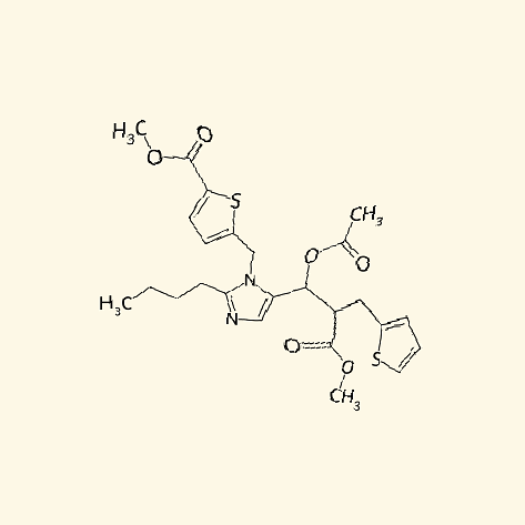 CCCCc1ncc(C(OC(C)=O)C(Cc2cccs2)C(=O)OC)n1Cc1ccc(C(=O)OC)s1